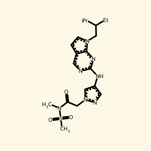 CCC(Cn1ccc2cnc(Nc3cnn(CC(=O)N(C)S(C)(=O)=O)c3)nc21)C(C)C